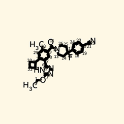 CCOc1nnc(-c2cc(C(=O)N3CCC(F)(c4ccc(C#N)cc4)CC3)c(C)cc2C2CCC2)[nH]1